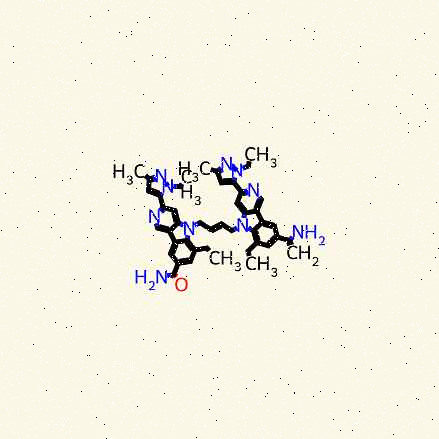 C=C(N)c1cc(CC)c2c(c1)c1cnc(-c3cc(C)nn3CC)cc1n2C/C=C/Cn1c2cc(-c3cc(C)nn3CC)ncc2c2cc(C(N)=O)cc(CC)c21